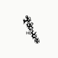 Cc1nc(-n2cnnn2)ccc1[C@@H](O)CN1CCC2(CC1)CCN(C1=C(C3CC3)C(=O)OC1)C2=O